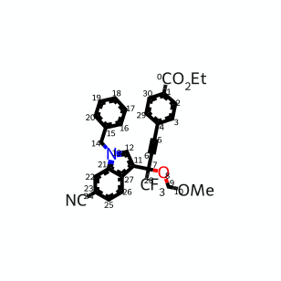 CCOC(=O)c1ccc(C#CC(OCOC)(c2cn(Cc3ccccc3)c3cc(C#N)ccc23)C(F)(F)F)cc1